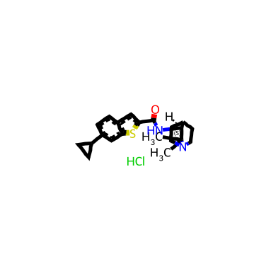 CC1(C)[C@@H](NC(=O)c2cc3ccc(C4CC4)cc3s2)C2CCN1CC2.Cl